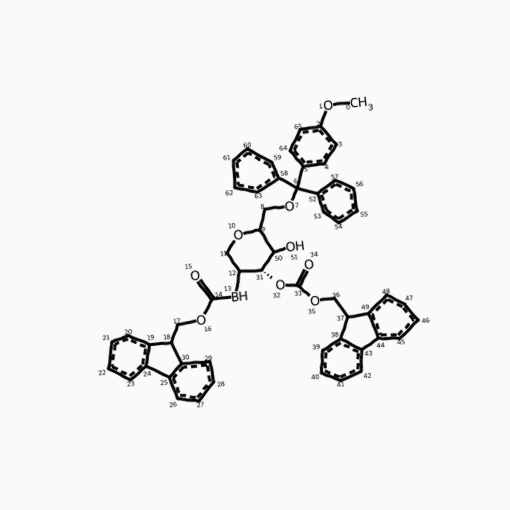 COc1ccc(C(OCC2OCC(BC(=O)OCC3c4ccccc4-c4ccccc43)[C@@H](OC(=O)OCC3c4ccccc4-c4ccccc43)C2O)(c2ccccc2)c2ccccc2)cc1